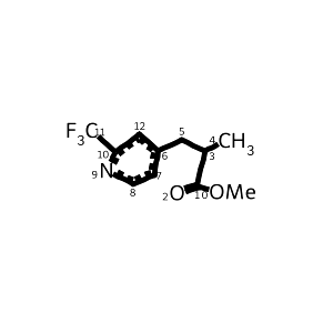 COC(=O)C(C)Cc1ccnc(C(F)(F)F)c1